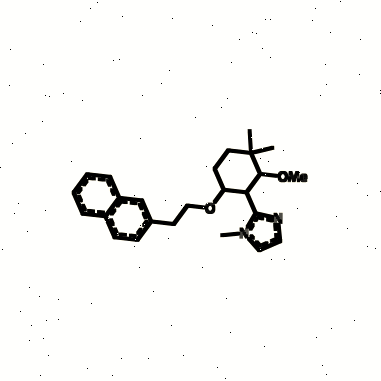 COC1C(c2nccn2C)C(OCCc2ccc3ccccc3c2)CCC1(C)C